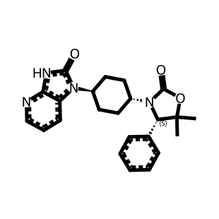 CC1(C)OC(=O)N([C@H]2CC[C@H](n3c(=O)[nH]c4ncccc43)CC2)[C@H]1c1ccccc1